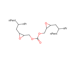 CCCCCC(CCC)CC1OC1COC(=O)OCC1OC1CC(CCC)CCCCC